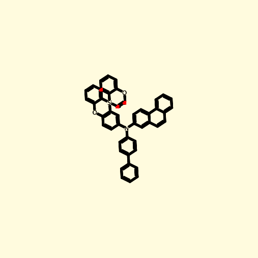 c1ccc(-c2ccc(N(c3ccc4c(c3)[Si]3(c5ccccc5Oc5ccccc53)c3ccccc3O4)c3ccc4c(ccc5ccccc54)c3)cc2)cc1